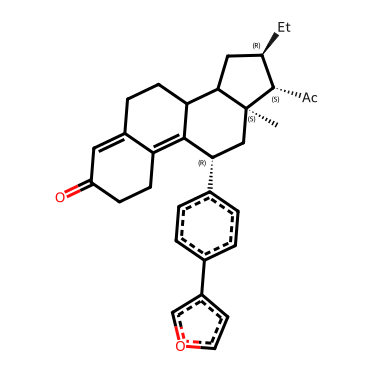 CC[C@@H]1CC2C3CCC4=CC(=O)CCC4=C3[C@@H](c3ccc(-c4ccoc4)cc3)C[C@]2(C)[C@H]1C(C)=O